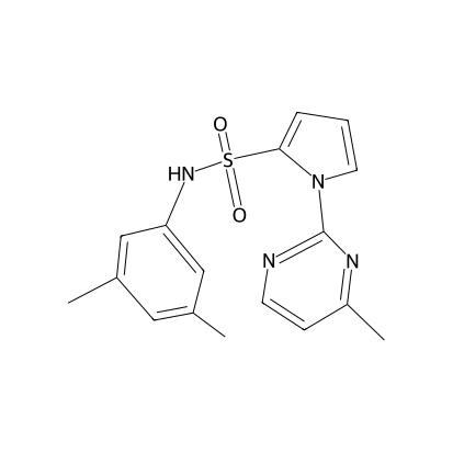 Cc1cc(C)cc(NS(=O)(=O)c2cccn2-c2nccc(C)n2)c1